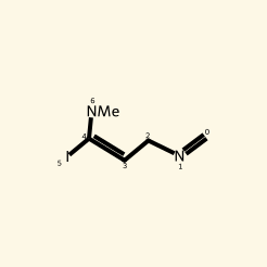 C=NC/C=C(/I)NC